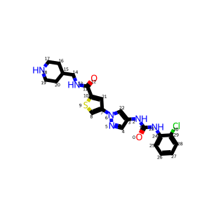 O=C(Nc1cnn(-c2csc(C(=O)NCC3CCNCC3)c2)c1)Nc1ccccc1Cl